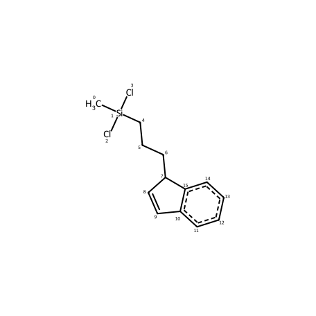 C[Si](Cl)(Cl)CCCC1C=Cc2ccccc21